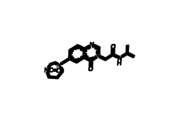 CC(C)NC(=O)Cn1cnc2ccc(N3CCN4CCC3CC4)cc2c1=O